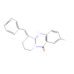 O=c1c2cc(Cl)ccc2nc2n1CCC/C2=C\c1ccccc1